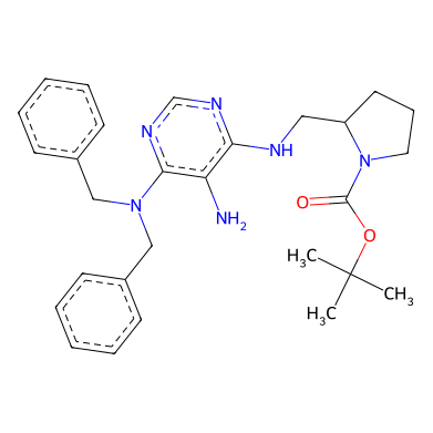 CC(C)(C)OC(=O)N1CCCC1CNc1ncnc(N(Cc2ccccc2)Cc2ccccc2)c1N